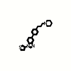 c1cc(-n2cnc3cc(-c4ccc(CCCN5CCCCC5)cc4)ccc32)cs1